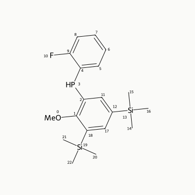 COc1c(Pc2ccccc2F)cc([Si](C)(C)C)cc1[Si](C)(C)C